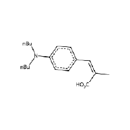 CCCCN(CCCC)c1ccc(/C=C(/C)C(=O)O)cc1